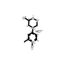 Cc1cc(N2CSOC(Cl)C2)cc[n+]1[O-].Cl